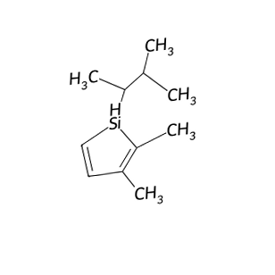 CC1=C(C)[SiH](C(C)C(C)C)C=C1